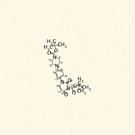 CC(C)(C)OC(=O)N1CCN(c2ccc(-n3ccc(=O)n(C(=O)OC(C)(C)C)c3=O)cc2)CC1